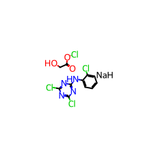 Clc1nc(Cl)nc(Nc2ccccc2Cl)n1.O=C(CO)OCl.[NaH]